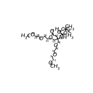 COCCOCCOCC(CC=O)(COCCOCCOC)NC(=O)OC(C)(C)C